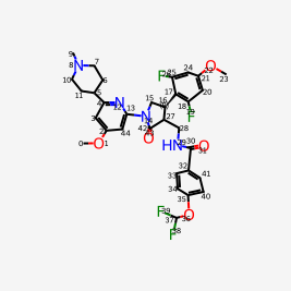 COc1cc(C2CCN(C)CC2)nc(N2C[C@@H](c3c(F)cc(OC)cc3F)C(CNC(=O)c3ccc(OC(F)F)cc3)C2=O)c1